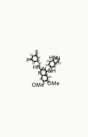 COc1cc2nc(NCc3cc(F)cc(F)c3)nc(Nc3ccc4[nH]ncc4c3)c2cc1OC